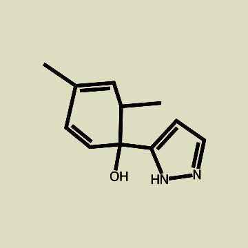 CC1=CC(C)C(O)(c2ccn[nH]2)C=C1